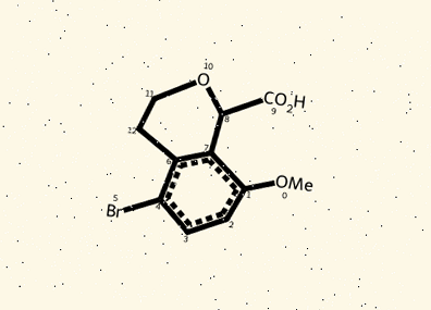 COc1ccc(Br)c2c1C(C(=O)O)OCC2